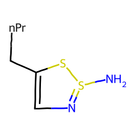 CCCCC1=CN=S(N)S1